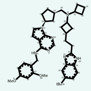 COc1ccc(CNc2ncnc3c2ccn3[C@H]2CC[C@@H](CN(C3CCC3)C3CC(CCc4nc5cc(C(C)(C)C)ccc5[nH]4)C3)C2)c(OC)c1